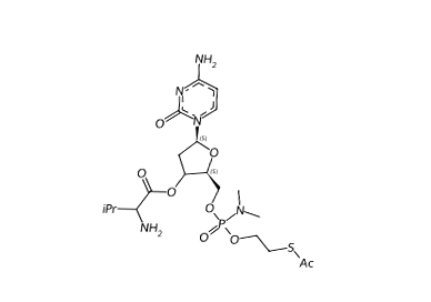 CC(=O)SCCOP(=O)(OC[C@@H]1O[C@H](n2ccc(N)nc2=O)CC1OC(=O)C(N)C(C)C)N(C)C